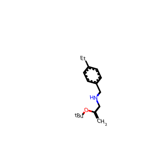 C=C(CNCc1ccc(CC)cc1)OC(C)(C)C